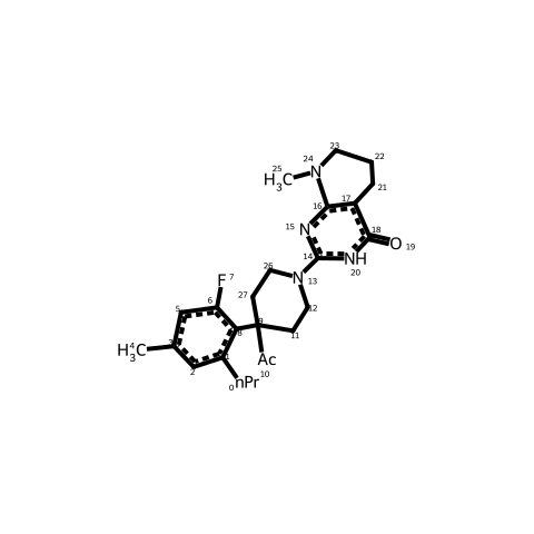 CCCc1cc(C)cc(F)c1C1(C(C)=O)CCN(c2nc3c(c(=O)[nH]2)CCCN3C)CC1